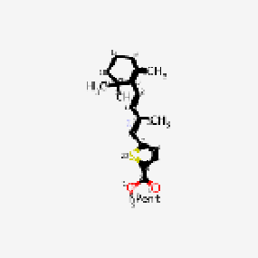 CCCCCOC(=O)c1ccc(/C=C(\C)C=CC2=C(C)CCCC2(C)C)s1